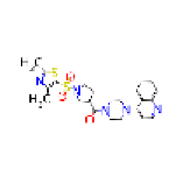 Cc1nc(C)c(S(=O)(=O)N2CCC(C(=O)N3CCN(c4ccnc5ccccc45)CC3)C2)s1